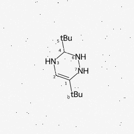 CC(C)(C)C1=CNC(C(C)(C)C)NN1